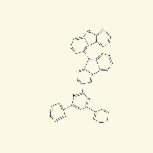 c1ccc(-c2cc(-c3ccccc3)nc(-c3ccc4c(c3)c3ccccc3n4-c3cccc4oc5ccccc5c34)n2)cc1